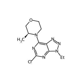 CCn1nnc2c(N3CCOC[C@@H]3C)nc(Cl)nc21